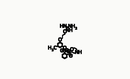 Cc1cc(OCCCONC(=N)N)cc(OS(=O)(=O)c2ccccc2S(=O)(=O)C2CNCCO2)c1